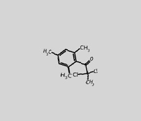 Cc1cc(C)c(C(=O)C(C)(Cl)Cl)c(C)c1